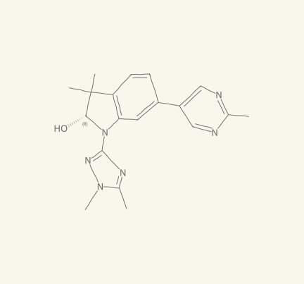 Cc1ncc(-c2ccc3c(c2)N(c2nc(C)n(C)n2)[C@H](O)C3(C)C)cn1